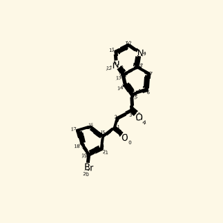 O=C(CC(=O)c1ccc2nccnc2c1)c1cccc(Br)c1